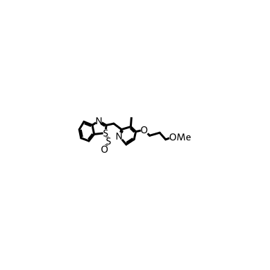 COCCCOc1ccnc(CC2=Nc3ccccc3S2=S=O)c1C